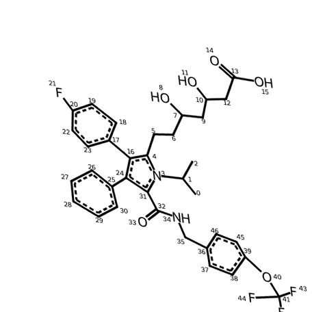 CC(C)n1c(CCC(O)CC(O)CC(=O)O)c(-c2ccc(F)cc2)c(-c2ccccc2)c1C(=O)NCc1ccc(OC(F)(F)F)cc1